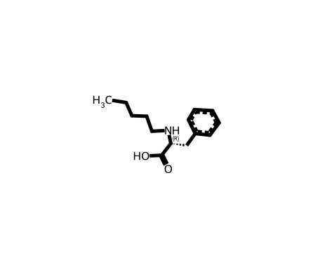 CCCCCN[C@H](Cc1ccccc1)C(=O)O